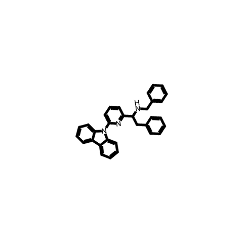 c1ccc(CNC(Cc2ccccc2)c2cccc(-n3c4ccccc4c4ccccc43)n2)cc1